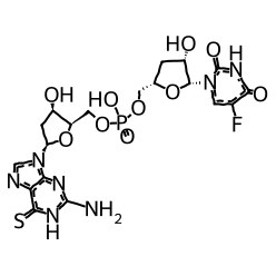 Nc1nc2c(ncn2[C@H]2C[C@@H](O)[C@@H](COP(=O)(O)OC[C@@H]3C[C@H](O)[C@H](n4cc(F)c(=O)[nH]c4=O)O3)O2)c(=S)[nH]1